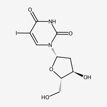 O=c1[nH]c(=O)n([C@@H]2C[C@@H](O)[C@H](CO)O2)cc1I